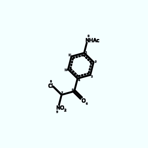 CC(=O)Nc1ccc(C(=O)C(Cl)[N+](=O)[O-])cc1